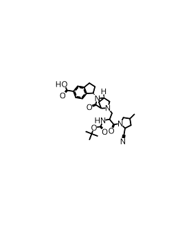 CC1CC(C#N)N(C(=O)C(CN2C[C@@H]3CC2C(=O)N3[C@H]2CCc3cc(C(=O)O)ccc32)NC(=O)OC(C)(C)C)C1